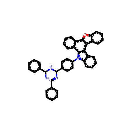 NC(NC(/N=C/c1ccccc1)c1ccc(-n2c3ccccc3c3c4c5ccccc5oc4c4ccccc4c32)cc1)c1ccccc1